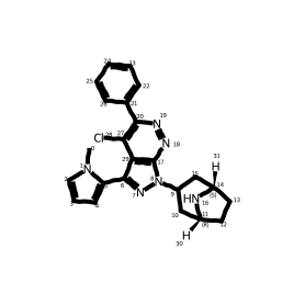 Cn1cccc1-c1nn(C2C[C@H]3CC[C@@H](C2)N3)c2nnc(-c3ccccc3)c(Cl)c12